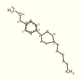 CCCCCCC1CCC(c2ccc(COC)cc2)CC1